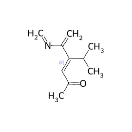 C=NC(=C)/C(=C/C(C)=O)C(C)C